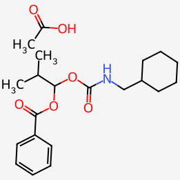 CC(=O)O.CC(C)C(OC(=O)NCC1CCCCC1)OC(=O)c1ccccc1